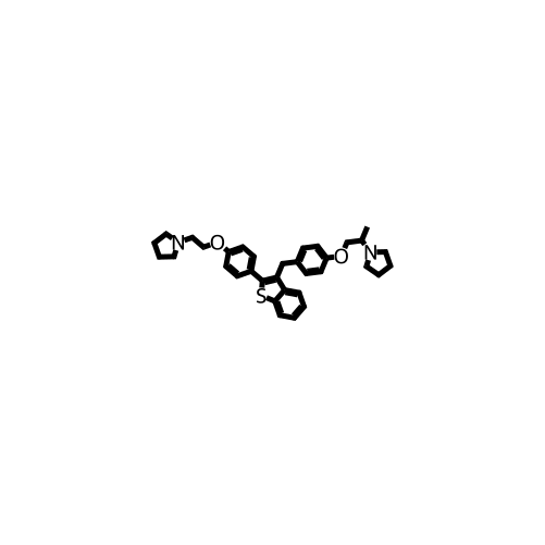 CC(COc1ccc(Cc2c(-c3ccc(OCCN4CCCC4)cc3)sc3ccccc23)cc1)N1CCCC1